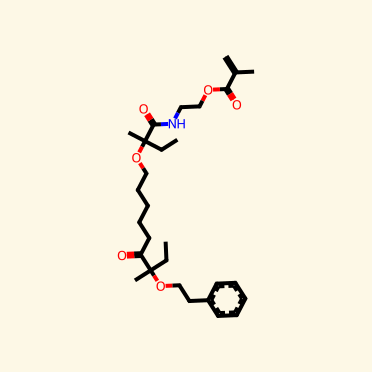 C=C(C)C(=O)OCCNC(=O)C(C)(CC)OCCCCCC(=O)C(C)(CC)OCCc1ccccc1